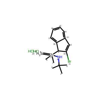 CC(C)(C)[NH][Zr]([CH3])([CH3])(=[SiH2])[CH]1C(Br)=Cc2ccccc21.Cl.Cl